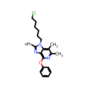 CCCc1nc2c(Oc3ccccc3)nc(C)c(C)c2n1CCCCCCCl